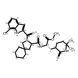 COC(=O)[C@H](CC1CCC(C)(C)NC1=O)NC(=O)C1CC2(CCCCC2)CN1C(=O)c1cc2cccc(Cl)c2[nH]1